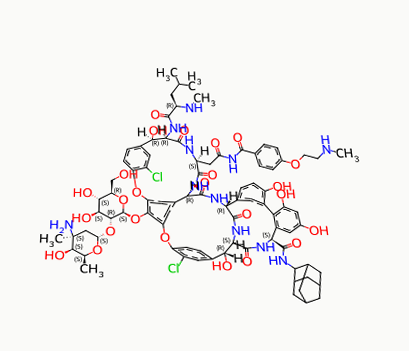 CNCCOc1ccc(C(=O)NC(=O)C[C@@H]2NC(=O)[C@H](NC(=O)[C@@H](CC(C)C)NC)[C@H](O)c3ccc(c(Cl)c3)Oc3cc4cc(c3O[C@@H]3O[C@H](CO)[C@@H](O)[C@H](O)[C@H]3O[C@H]3C[C@](C)(N)[C@H](O)[C@H](C)O3)Oc3ccc(cc3Cl)[C@@H](O)[C@@H]3NC(=O)[C@H](NC(=O)[C@@H]4NC2=O)c2ccc(O)c(c2)-c2c(O)cc(O)cc2[C@@H](C(=O)NC2C4CC5CC(C4)CC2C5)NC3=O)cc1